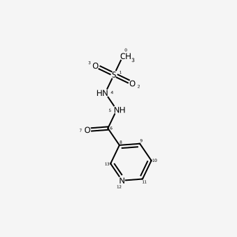 CS(=O)(=O)NNC(=O)c1cccnc1